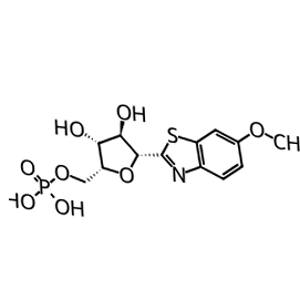 COc1ccc2nc([C@@H]3O[C@H](COP(=O)(O)O)[C@H](O)[C@H]3O)sc2c1